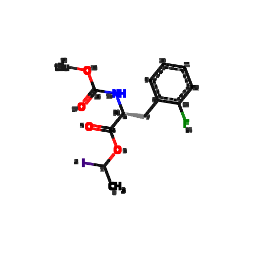 CC(I)OC(=O)[C@@H](Cc1ccccc1F)NC(=O)OC(C)(C)C